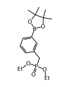 CCOP(=O)(Cc1cccc(B2OC(C)(C)C(C)(C)O2)c1)OCC